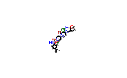 CC(C)c1ccc(NS(=O)(=O)N2CCC(n3ncc(NC[C@@H]4CCCOC4)c(Cl)c3=O)CC2)c(F)c1